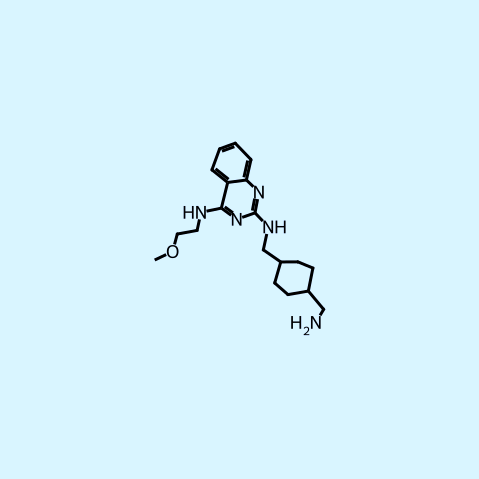 COCCNc1nc(NCC2CCC(CN)CC2)nc2ccccc12